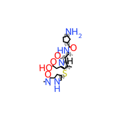 C[C@@H](NC(=O)[C@H]1CC[C@@H](N)C1)[C@H]1C(=O)N2C(CC(=O)O)=C(S[C@@H]3CNC(C(=O)N(C)C)C3)[C@H](C)[C@H]12